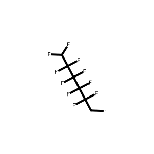 [CH2]CC(F)(F)C(F)(F)C(F)(F)C(F)(F)C(F)F